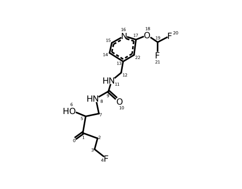 C=C(CCF)C(O)CNC(=O)NCc1ccnc(OC(F)F)c1